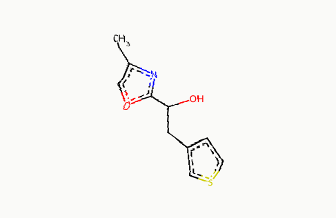 Cc1coc(C(O)Cc2ccsc2)n1